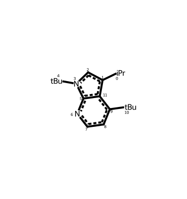 CC(C)c1cn(C(C)(C)C)c2nccc(C(C)(C)C)c12